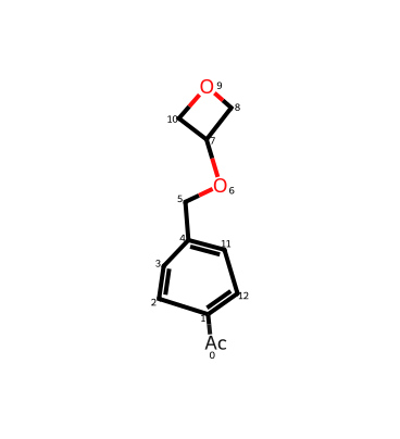 CC(=O)c1ccc(COC2COC2)cc1